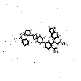 CC(C)c1ccccc1[C@@H]1CCCN1C1CC2(CCN(c3ccc(C(N)=O)c(N4C[C@@H](C)Oc5nc6[nH]ccc6cc54)c3)CC2)C1